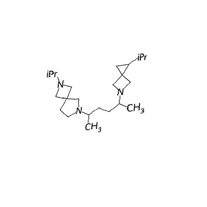 CC(C)C1CC12CN(C(C)CCC(C)N1CCC3(CN(C(C)C)C3)C1)C2